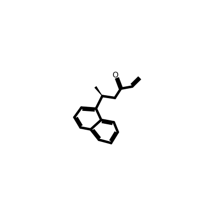 C=CC(=O)C[C@H](C)c1cccc2ccccc12